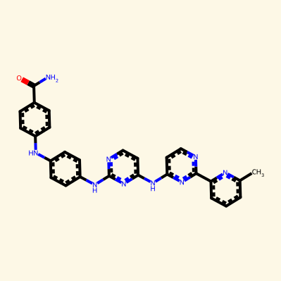 Cc1cccc(-c2nccc(Nc3ccnc(Nc4ccc(Nc5ccc(C(N)=O)cc5)cc4)n3)n2)n1